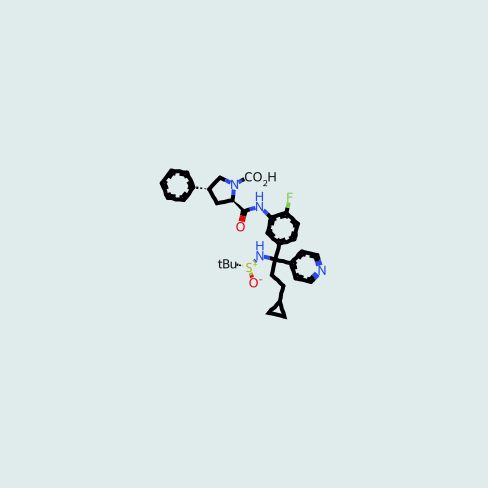 CC(C)(C)[S@@+]([O-])NC(CCC1CC1)(c1ccncc1)c1ccc(F)c(NC(=O)[C@H]2C[C@H](c3ccccc3)CN2C(=O)O)c1